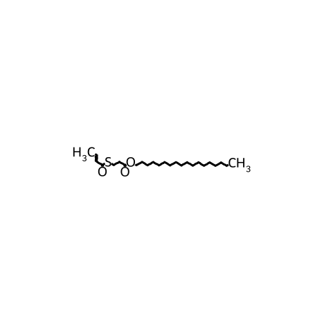 CC=CC(=O)SCCC(=O)OCCCCCCCCCCCCCCCCCC